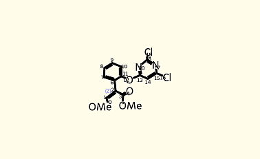 CO/C=C(\C(=O)OC)c1ccccc1Oc1cc(Cl)nc(Cl)n1